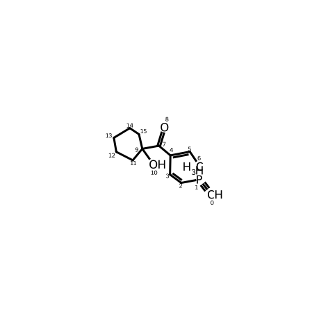 C#[PH]/C=C\C(=C/C)C(=O)C1(O)CCCCC1